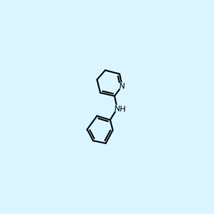 C1=NC(Nc2ccccc2)=CCC1